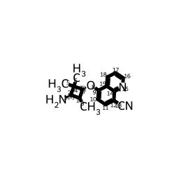 CC1[C@@H](N)C(C)(C)[C@@H]1Oc1ccc(C#N)c2ncccc12